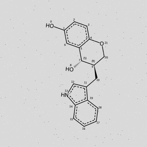 Oc1ccc2c(c1)[C@@H](O)[C@H](Cc1c[nH]c3ccccc13)CO2